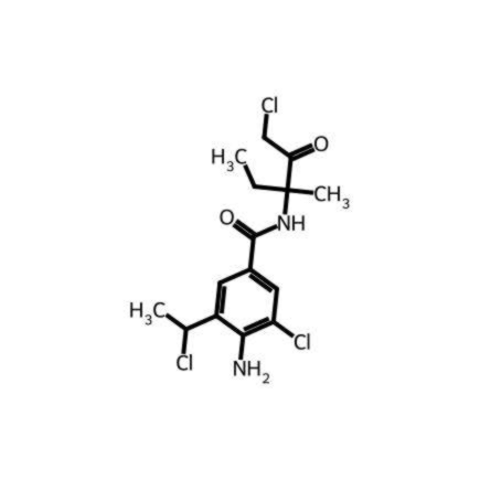 CCC(C)(NC(=O)c1cc(Cl)c(N)c(C(C)Cl)c1)C(=O)CCl